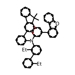 CCc1ccccc1-c1cccc(N(c2cccc(-c3cccc4oc5ccccc5c34)c2)c2ccccc2-c2ccc3c(c2)-c2ccccc2C3(C)C)c1CC